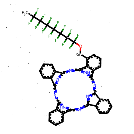 FC(F)(F)C(F)(F)C(F)(F)C(F)(F)C(F)(F)C(F)(F)C(F)(F)C(F)(F)[O][Sn][c]1cccc2c3nc4nc(nc5[nH]c(nc6nc(nc([nH]3)c12)-c1ccccc1-6)c1ccccc51)-c1ccccc1-4